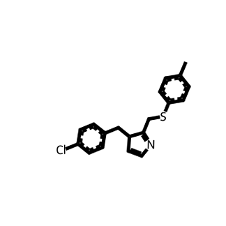 Cc1ccc(SCC2=NC=CC2Cc2ccc(Cl)cc2)cc1